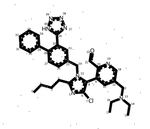 CCCCc1nc(Cl)c(-c2cc(CN(CC)CC)cnc2C=O)n1Cc1ccc(-c2ccccc2)c(-c2nnn[nH]2)c1